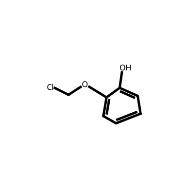 Oc1ccccc1OCCl